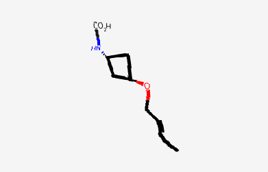 CC=CCO[C@H]1C[C@H](NC(=O)O)C1